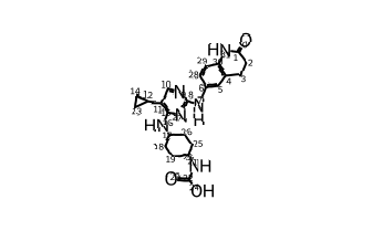 O=C1CCc2cc(Nc3ncc(C4CC4)c(N[C@H]4CC[C@H](NC(=O)O)CC4)n3)ccc2N1